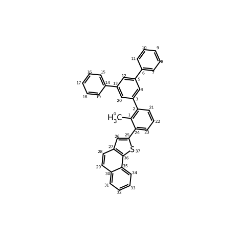 Cc1c(-c2cc(-c3ccccc3)cc(-c3ccccc3)c2)cccc1-c1cc2ccc3ccccc3c2s1